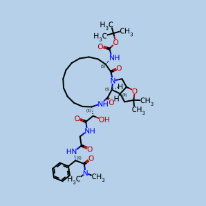 CN(C)C(=O)[C@@H](NC(=O)CNC(=O)C(O)[C@@H]1CCCCCCCCCC[C@H](NC(=O)OC(C)(C)C)C(=O)N2CC3OC(C)(C)C[C@@H]3[C@H]2C(=O)N1)c1ccccc1